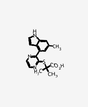 Cc1cc(-c2nccnc2SC(C)(C)C(=O)O)c2cc[nH]c2c1